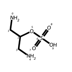 NCC(CN)OS(=O)(=O)O